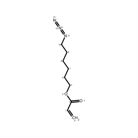 C=CC(=O)OCCCCCCN=[N+]=[N-]